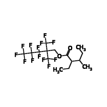 CCC(C)C(CC)C(=O)OCC(C(F)(F)F)(C(F)(F)F)C(F)(F)C(F)(F)C(F)(F)F